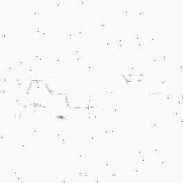 CCC(C)C(=O)OCOC(C)(C)c1ccc2c(S)cccc2c1